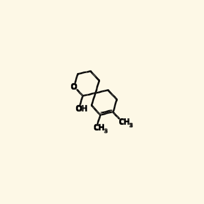 CC1=C(C)CC2(CCCOC2O)CC1